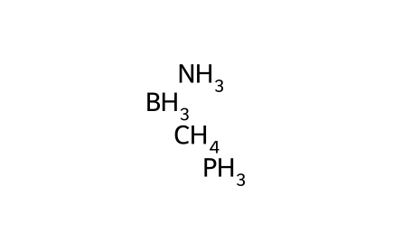 B.C.N.P